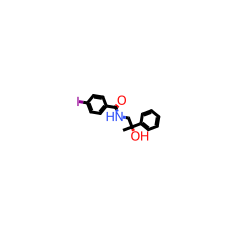 CC(O)(CNC(=O)c1ccc(I)cc1)c1ccccc1